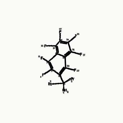 BC(CC)(CCC)c1c(F)c(F)c2c(F)c(F)c(F)c(F)c2c1F